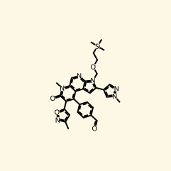 Cc1cc(-c2c(-c3ccc(C=O)cc3)c3c4cc(-c5cnn(C)c5)n(COCC[Si](C)(C)C)c4ncc3n(C)c2=O)on1